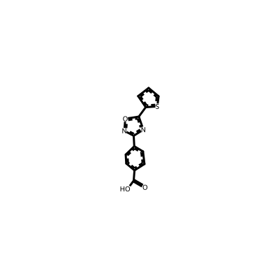 O=C(O)c1ccc(-c2noc(-c3cccs3)n2)cc1